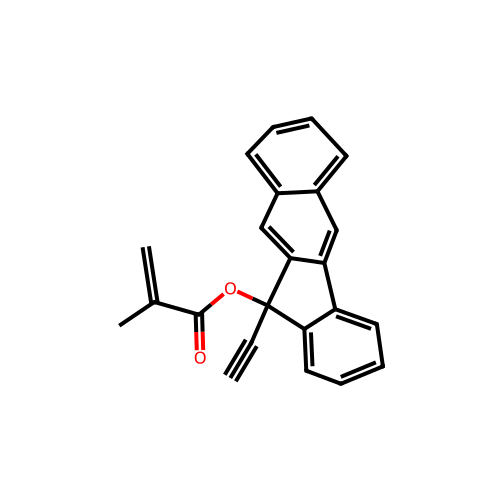 C#CC1(OC(=O)C(=C)C)c2ccccc2-c2cc3ccccc3cc21